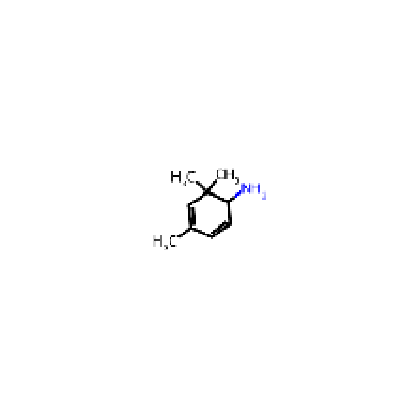 CC1=CC(C)(C)C(N)C=C1